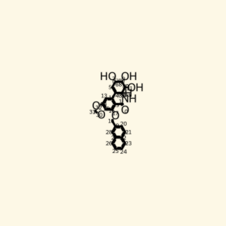 O=C1N[C@@H]2C(=C[C@H](O)[C@@H](O)[C@H]2O)c2cc3c(c(OCc4ccc5ccccc5c4)c21)OCO3